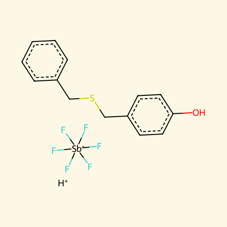 Oc1ccc(CSCc2ccccc2)cc1.[F][Sb-]([F])([F])([F])([F])[F].[H+]